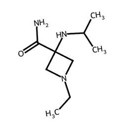 CCN1CC(NC(C)C)(C(N)=O)C1